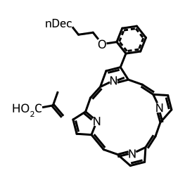 C=C(C)C(=O)O.CCCCCCCCCCCCOc1ccccc1C1=CC2=CC3=NC(=CC4=NC(=CC5=NC(=CC1=N2)C=C5)C=C4)C=C3